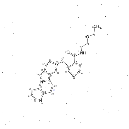 CCOCCNC(=O)c1ccccc1Sc1ccc2cnn(/C=C\c3ccccn3)c2c1